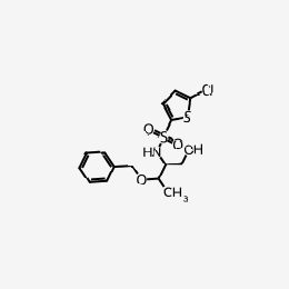 CC(OCc1ccccc1)[C@H](CO)NS(=O)(=O)c1ccc(Cl)s1